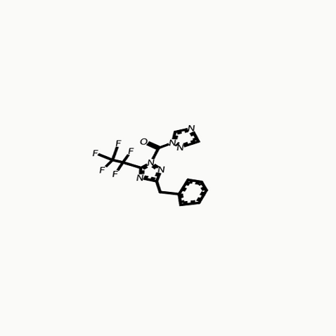 O=C(n1cncn1)n1nc(Cc2ccccc2)nc1C(F)(F)C(F)(F)F